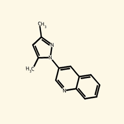 Cc1cc(C)n(-c2cnc3ccccc3c2)n1